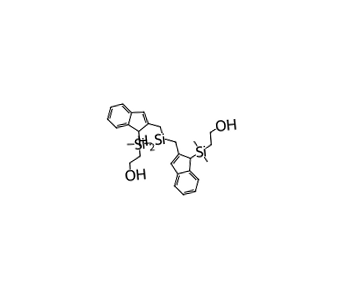 C[Si](C)(CCO)C1C(C[SiH2]CC2=Cc3ccccc3C2[Si](C)(C)CCO)=Cc2ccccc21